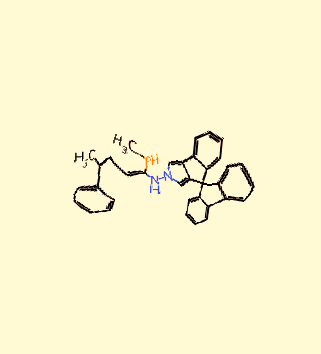 CP/C(=C\CC(C)c1ccccc1)Nn1cc2c(c1)C1(c3ccccc3-c3ccccc31)c1ccccc1-2